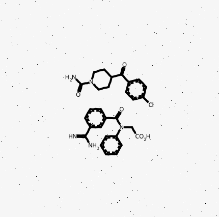 N=C(N)c1cccc(C(=O)N(CC(=O)O)c2ccccc2)c1.NC(=O)N1CCC(C(=O)c2ccc(Cl)cc2)CC1